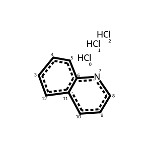 Cl.Cl.Cl.c1ccc2ncccc2c1